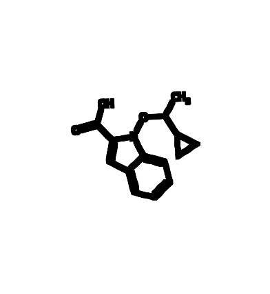 CC(On1c(C(=O)O)cc2ccccc21)C1CC1